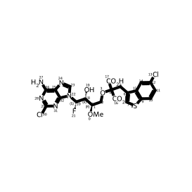 CO[C@H](COC(Cc1csc2ccc(Cl)cc12)(C(=O)O)C(=O)O)[C@@H](O)[C@H](F)n1cnc2c(N)nc(Cl)nc21